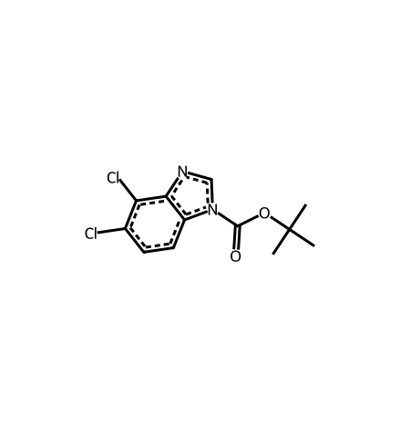 CC(C)(C)OC(=O)n1cnc2c(Cl)c(Cl)ccc21